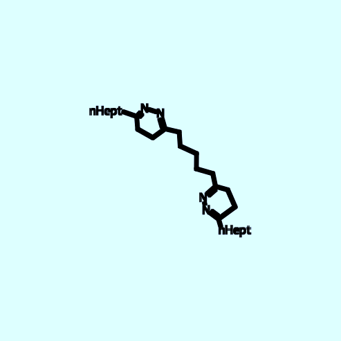 CCCCCCCC1=NN=C(CCCCCC2=NN=C(CCCCCCC)CC2)CC1